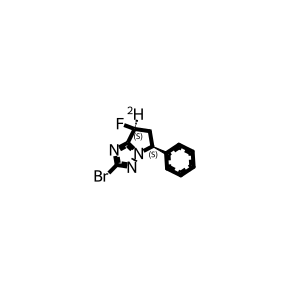 [2H][C@]1(F)C[C@@H](c2ccccc2)n2nc(Br)nc21